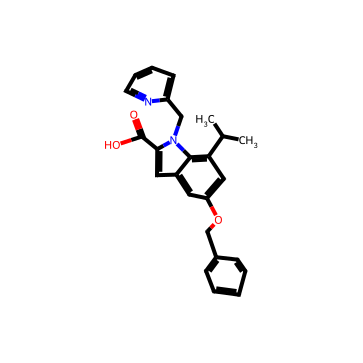 CC(C)c1cc(OCc2ccccc2)cc2cc(C(=O)O)n(Cc3ccccn3)c12